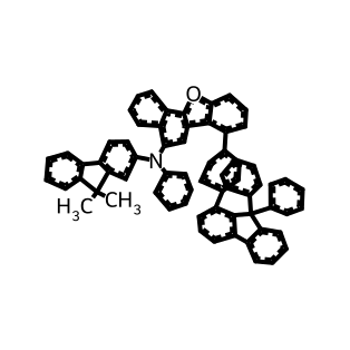 CC1(C)c2ccccc2-c2ccc(N(c3ccccc3)c3cc4c(oc5cccc(-c6ccc(-c7cccc8c7C(c7ccccc7)(c7ccccc7)c7ccccc7-8)cc6)c54)c4ccccc34)cc21